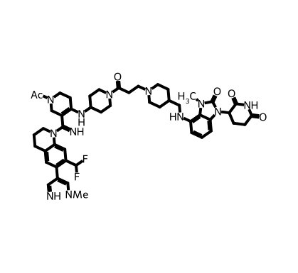 CN/C=C(\C=N)c1cc2c(cc1C(F)F)N(C(=N)C1=C(NC3CCN(C(=O)CCN4CCC(CNc5cccc6c5n(C)c(=O)n6C5CCC(=O)NC5=O)CC4)CC3)CCN(C(C)=O)C1)CCC2